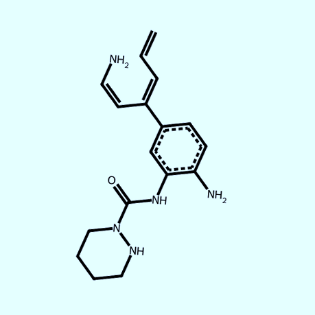 C=C/C=C(\C=C/N)c1ccc(N)c(NC(=O)N2CCCCN2)c1